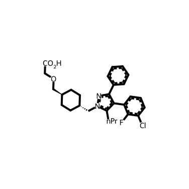 CCCc1c(-c2cccc(Cl)c2F)c(-c2ccccc2)nn1C[C@H]1CC[C@H](COCC(=O)O)CC1